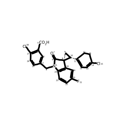 O=C(O)c1cc(CN2C(=O)[C@]3(C[C@@H]3C3=CC=C(Cl)CC3)c3cc(F)ccc32)ccc1Cl